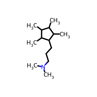 CC1C(C)C(C)C(CCCN(C)C)C1C